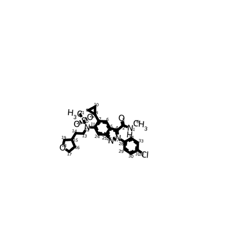 CNC(=O)c1c2cc(C3CC3)c(N(CCC3CCOC3)S(C)(=O)=O)cc2nn1-c1ccc(Cl)cc1